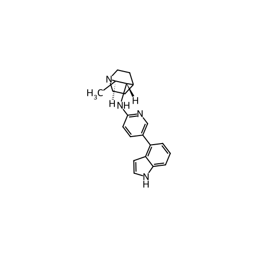 C[C@@H]1[C@@H](Nc2ccc(-c3cccc4[nH]ccc34)cn2)C2CCN1CC2